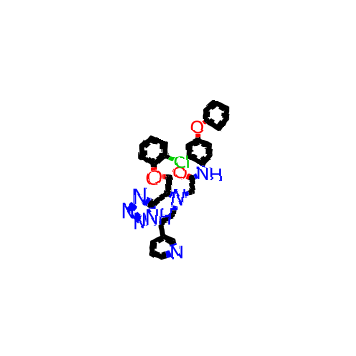 O=C(CN(CCc1cccnc1)C(COc1ccccc1Cl)c1nnn[nH]1)Nc1ccc(Oc2ccccc2)cc1